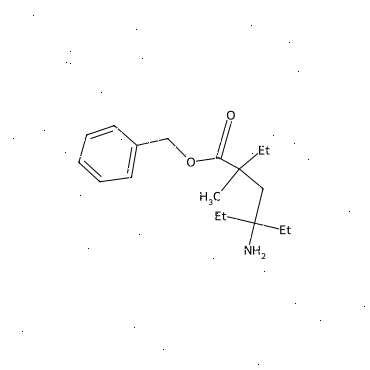 CCC(N)(CC)CC(C)(CC)C(=O)OCc1ccccc1